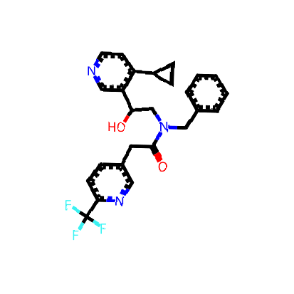 O=C(Cc1ccc(C(F)(F)F)nc1)N(Cc1ccccc1)CC(O)c1cnccc1C1CC1